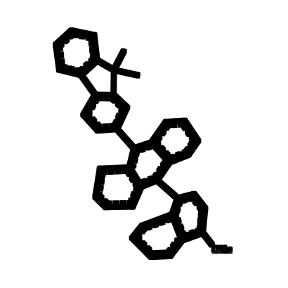 COc1ccc(-c2c3ccccc3c(-c3ccc4c(c3)C(C)(C)c3ccccc3-4)c3ccccc23)c2ccccc12